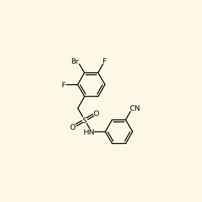 N#Cc1cccc(NS(=O)(=O)Cc2ccc(F)c(Br)c2F)c1